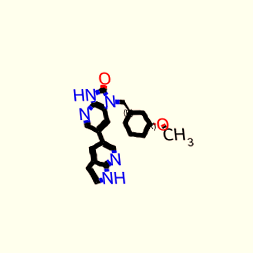 CO[C@@H]1CCC[C@@H](Cn2c(=O)[nH]c3ncc(-c4cnc5[nH]ccc5c4)cc32)C1